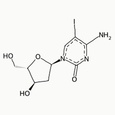 Nc1nc(=O)n([C@H]2C[C@@H](O)[C@H](CO)O2)cc1I